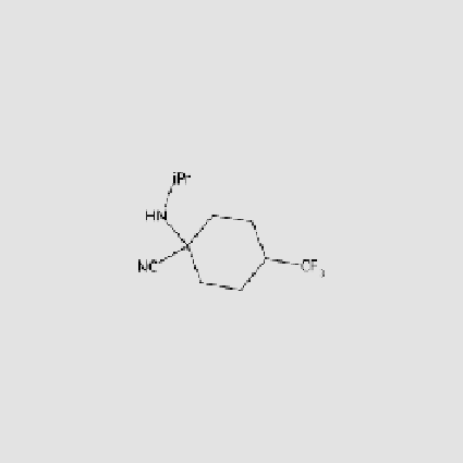 CC(C)NC1(C#N)CCC(C(F)(F)F)CC1